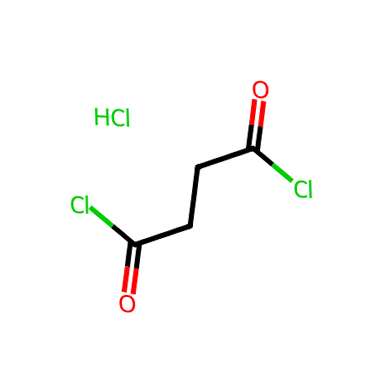 Cl.O=C(Cl)CCC(=O)Cl